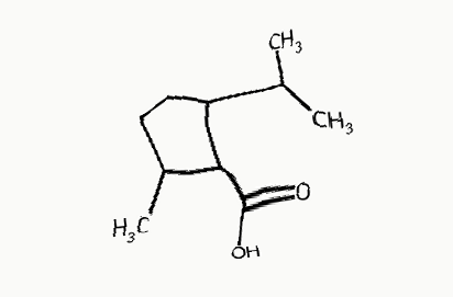 CC(C)C1CCC(C)C1C(=O)O